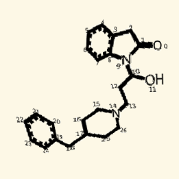 O=C1Cc2ccccc2N1C(O)CCN1CCC(Cc2ccccc2)CC1